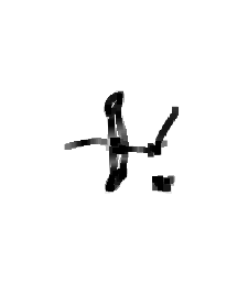 C[N-]S(C)(=O)=O.[Na+]